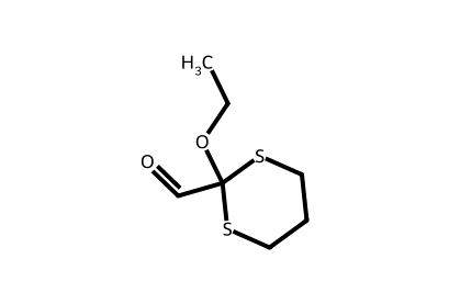 CCOC1(C=O)SCCCS1